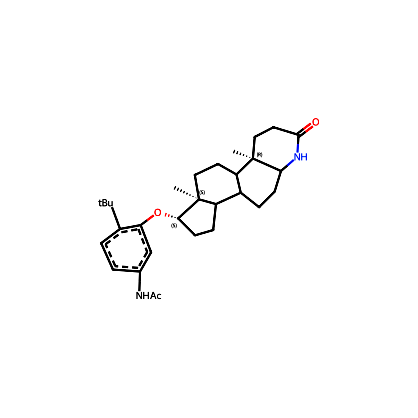 CC(=O)Nc1ccc(C(C)(C)C)c(O[C@H]2CCC3C4CCC5NC(=O)CC[C@]5(C)C4CC[C@@]32C)c1